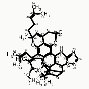 COC(=O)/C(C)=C\CC12OC(C)(C)C3CC(C1=O)C1C4=C(Nc5ncnn51)c1c(c(CC=C(C)C)c5c6c1OC(=O)CC6=CC(C)(CCC=C(C)C)O5)OC432